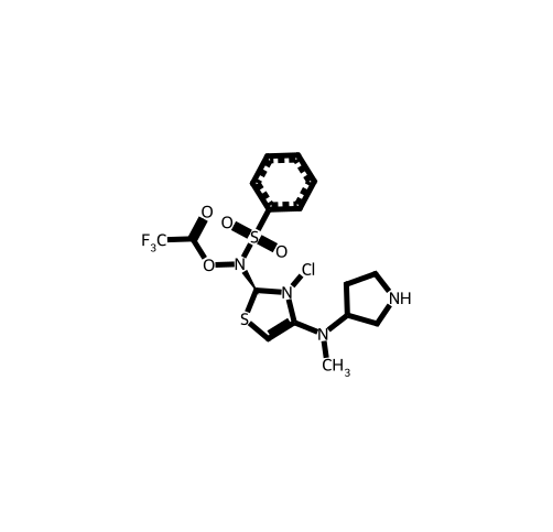 CN(C1=CS[C@@H](N(OC(=O)C(F)(F)F)S(=O)(=O)c2ccccc2)N1Cl)C1CCNC1